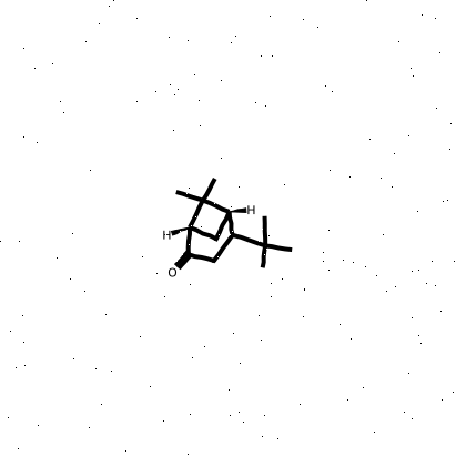 CC(C)(C)C1CC(=O)[C@H]2C[C@@H]1C2(C)C